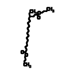 CCCCOC(=O)CCCCCCCCCCCCCCC(CC)CCC(=O)OCCCC